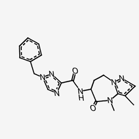 Cc1cnn2c1N(C)C(=O)C(NC(=O)c1ncn(Cc3ccccc3)n1)CC2